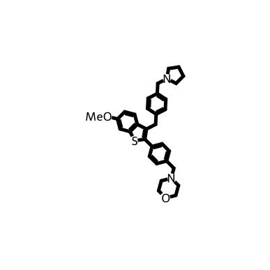 COc1ccc2c(Cc3ccc(CN4CCCC4)cc3)c(-c3ccc(CN4CCOCC4)cc3)sc2c1